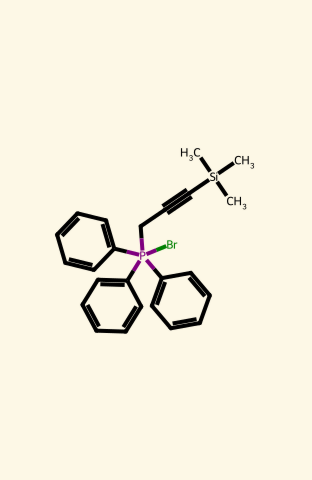 C[Si](C)(C)C#CCP(Br)(c1ccccc1)(c1ccccc1)c1ccccc1